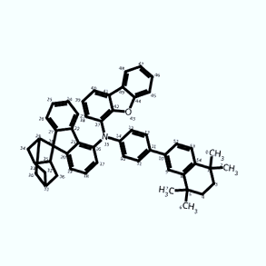 CC1(C)CCC(C)(C)c2cc(-c3ccc(N(c4cccc5c4-c4ccccc4C54C5CC6CC(C5)C4C6)c4cccc5c4oc4ccccc45)cc3)ccc21